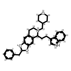 c1ccc(CC2Oc3cc4c(cc3O2)C(CCc2c[nH]c3ccccc23)N(CC2CCOCC2)CC4)cc1